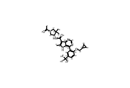 CC(=O)N1C[C@@H](NC(=O)c2c(C)[nH]c3c(-c4cc(C(F)(F)F)ccc4OCC4CC4)ncnc23)C(C)(C)C1